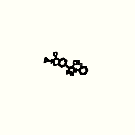 Cc1c(-c2ccc3c(c2)CN(C2CC2)C3=O)nnn1-c1ccccc1